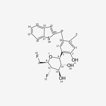 Cc1cc(O)c([C@@H]2O[C@H](CF)[C@@H](F)[C@H](O)[C@H]2O)cc1Cc1cc2ccccc2s1